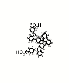 O=C(O)c1ccc(Oc2ccccc2-c2ccc(C3(c4ccc(-c5ccccc5Oc5ccc(C(=O)O)cc5)cc4)c4ccccc4-c4ccccc43)cc2)cc1